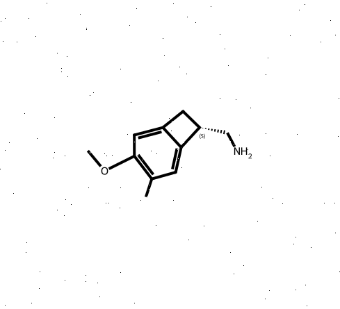 COc1cc2c(cc1C)[C@@H](CN)C2